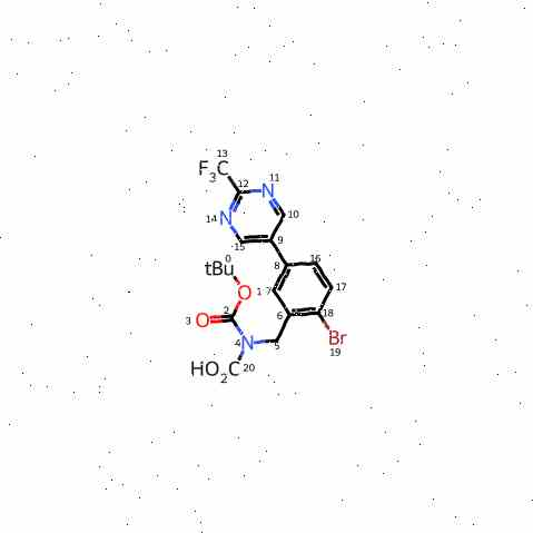 CC(C)(C)OC(=O)N(Cc1cc(-c2cnc(C(F)(F)F)nc2)ccc1Br)C(=O)O